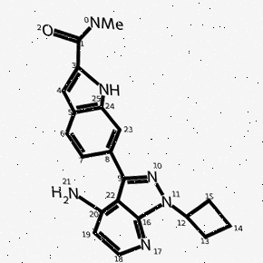 CNC(=O)c1cc2ccc(-c3nn(C4CCC4)c4nccc(N)c34)cc2[nH]1